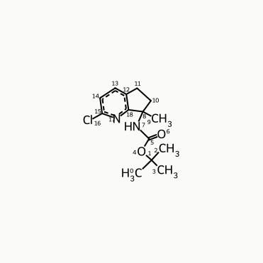 CC(C)(C)OC(=O)NC1(C)CCc2ccc(Cl)nc21